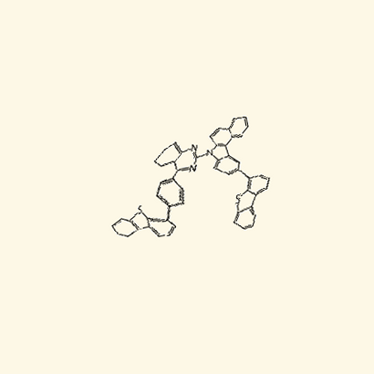 C1=Cc2sc3c(-c4ccc(-c5nc(-n6c7ccc(-c8cccc9c8sc8ccccc89)cc7c7c8ccccc8ccc76)nc6c5=CCCC=6)cc4)cccc3c2CC1